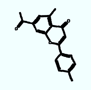 CC(=O)c1cc(C)c2c(=O)cc(-c3ccc(C)cc3)oc2c1